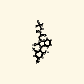 O=C(Cn1c(=O)n(-c2c(F)cc(Br)cc2F)c2ccccc21)NCC(F)(F)F